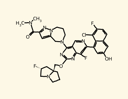 CN(C)C(=O)c1cc2n(n1)CCCN(c1nc(OC[C@@]34CCCN3C[C@H](F)C4)nc3c(F)c(-c4cc(O)cc5ccc(F)c(Cl)c45)ncc13)C2